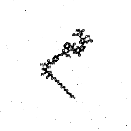 COP(=O)(S)OC[C@H]1O[C@@H](n2cnc3c(=O)[nH]c(NC(=O)c4ccccc4CN(C)C(=O)OCc4ccc(NC(=O)[C@H](C)NC(=O)C(NC(=O)COCCOCCOCCOCCN)C(C)C)cc4)nc32)[C@H](OP=O)[C@@H]1O